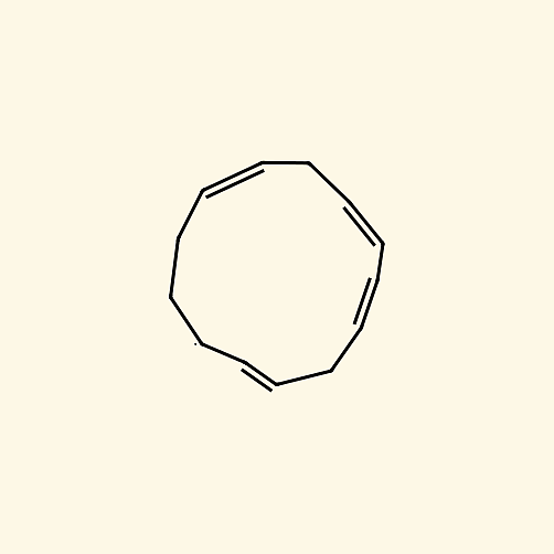 [CH]1/C=C/C/C=C/C=C\C/C=C\CC1